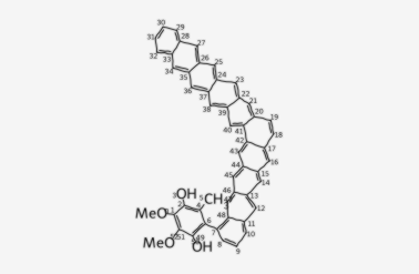 COc1c(O)c(C)c(-c2cccc3cc4cc5cc6ccc7cc8cc9cc%10cc%11ccccc%11cc%10cc9cc8cc7c6cc5cc4cc23)c(O)c1OC